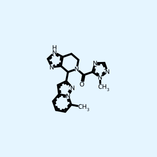 Cc1cccc2cc(C3c4nc[nH]c4CCN3C(=O)c3ncnn3C)nn12